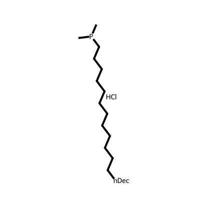 CCCCCCCCCCCCCCCCCCCCCCP(C)C.Cl